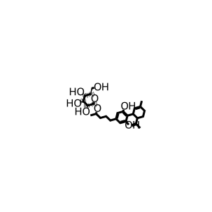 C=C(C)C1CCC(C)=CC1c1c(O)cc(CCCC(C)O[C@@H]2O[C@H](CO)[C@@H](O)[C@H](O)[C@H]2O)cc1O